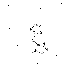 Cn1cnnc1Sc1nccs1